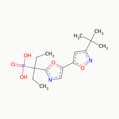 CCC(CC)(c1ncc(-c2cc(C(C)(C)C)no2)o1)P(=O)(O)O